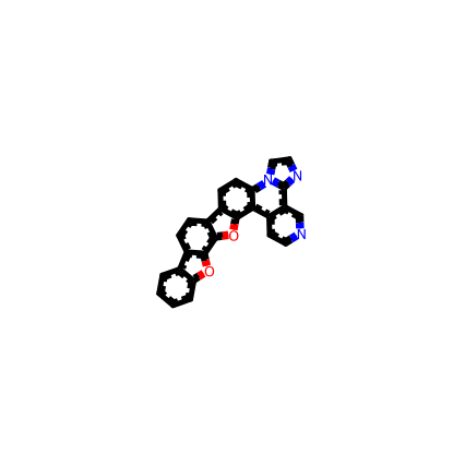 c1ccc2c(c1)oc1c2ccc2c3ccc4c(c5ccncc5c5nccn45)c3oc21